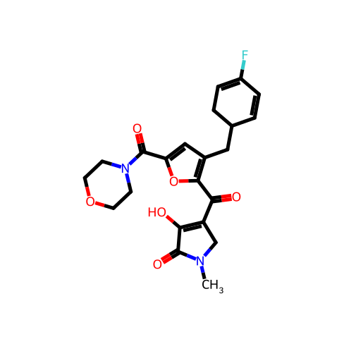 CN1CC(C(=O)c2oc(C(=O)N3CCOCC3)cc2CC2C=CC(F)=CC2)=C(O)C1=O